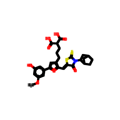 COc1cc(O)cc(-c2cc(CCCC(C(=O)O)C(=O)O)c(C=C3SC(=S)N(C4CC5CCC4C5)C3=O)o2)c1